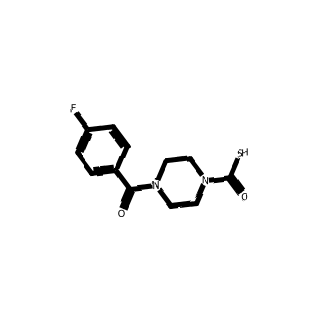 O=C(S)N1CCN(C(=O)c2ccc(F)cc2)CC1